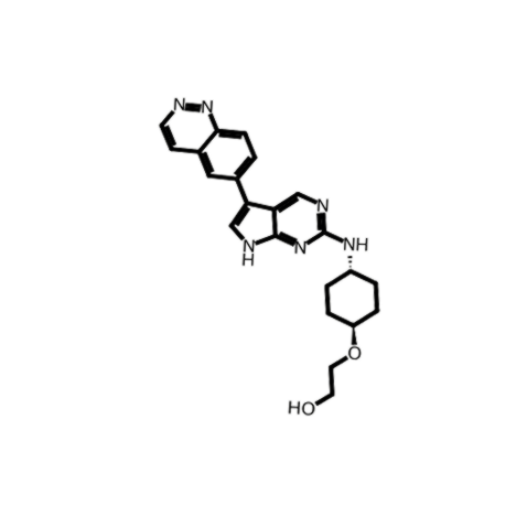 OCCO[C@H]1CC[C@H](Nc2ncc3c(-c4ccc5nnccc5c4)c[nH]c3n2)CC1